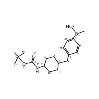 CB(O)c1ccc(CC2CCC(NC(=O)OC(C)(C)C)CC2)cc1